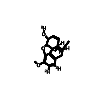 [2H]OC1C=C[C@H]2[C@H]3Cc4c([2H])c([2H])c(OC)c5c4[C@@]2(CCN3C)C1O5